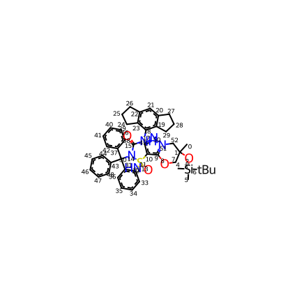 CC1(O[Si](C)(C)C(C)(C)C)COc2c(S(=N)(=O)N(C(=O)Nc3c4c(cc5c3CCC5)CCC4)C(c3ccccc3)(c3ccccc3)c3ccccc3)cnn2C1